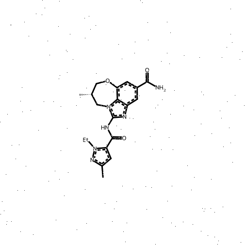 CCn1nc(C)cc1C(=O)Nc1nc2cc(C(N)=O)cc3c2n1C[C@H](C)CO3